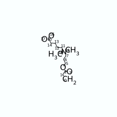 C=CC(=O)OCCC[N+](C)(C)CCCCC(=O)[O-]